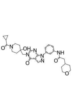 O=C(CC1CCOCC1)Nc1cccc(-n2ncc3c(=O)n(CC4(O)CCN(C(=O)C5CC5)CC4)cnc32)c1